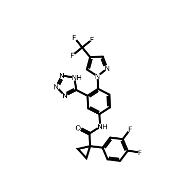 O=C(Nc1ccc(-n2cc(C(F)(F)F)cn2)c(-c2nnn[nH]2)c1)C1(c2ccc(F)c(F)c2)CC1